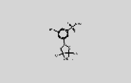 CNS(=O)(=O)c1cc(B2OC(C)(C)C(C)(C)O2)cc(C(C)(C)C)c1